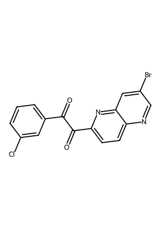 O=C(C(=O)c1ccc2ncc(Br)cc2n1)c1cccc(Cl)c1